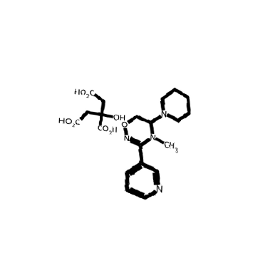 CN1C(c2cccnc2)=NOCC1N1CCCCC1.O=C(O)CC(O)(CC(=O)O)C(=O)O